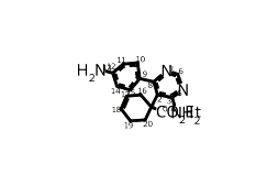 CCOC(=O)C1(c2c(N)ncnc2-c2ccc(N)cc2)CC=CCC1